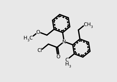 CCc1cccc(C)c1N(C(=O)CCl)c1ccccc1COC